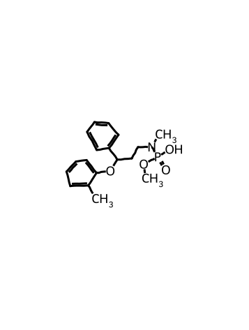 COP(=O)(O)N(C)CCC(Oc1ccccc1C)c1ccccc1